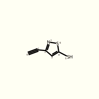 C#Cc1cc(S)sn1